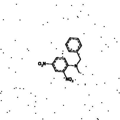 [CH2]N(Cc1ccccc1)c1ccc([N+](=O)[O-])cc1[N+](=O)[O-]